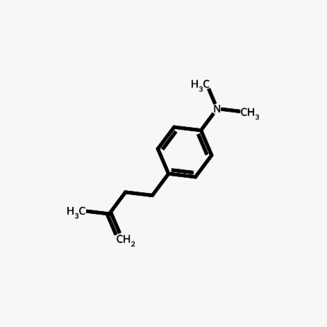 C=C(C)CCc1ccc(N(C)C)cc1